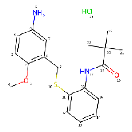 COc1ccc(N)cc1CSc1ccccc1NC(=O)C(C)(C)C.Cl